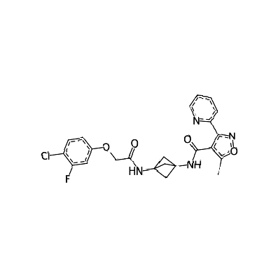 Cc1onc(-c2ccccn2)c1C(=O)NC12CC(NC(=O)COc3ccc(Cl)c(F)c3)(C1)C2